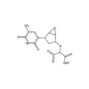 COC(=O)C(OC1CC(n2cc(C)c(=O)[nH]c2=O)C2OC12)P(=O)=O